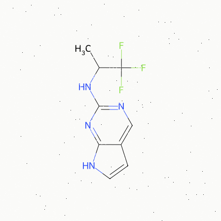 CC(Nc1ncc2cc[nH]c2n1)C(F)(F)F